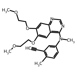 C#Cc1cc(N(C)c2ncnc3cc(OCCOC)c(OCCOC)cc23)ccc1C